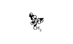 C=CCn1c(=O)n(CC2COC2)c(=O)n(C[C@@H]2CO2)c1=O